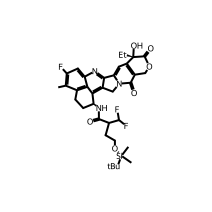 CC[C@@]1(O)C(=O)OCc2c1cc1n(c2=O)Cc2c-1nc1cc(F)c(C)c3c1c2[C@@H](NC(=O)C(CCO[Si](C)(C)C(C)(C)C)C(F)F)CC3